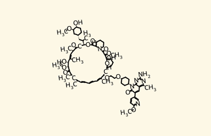 COc1ccc(-c2cc3c(C)nc(N)nc3n([C@H]3CC[C@H](OCCO[C@H]4C[C@@H]5CC[C@@H](C)[C@@](O)(O5)C(=O)C(=O)N5CCCC[C@H]5C(=O)O[C@H](C(C)C[C@H]5CC[C@@H](O)[C@H](OC)C5)CC(=O)[C@H](C)/C=C(\C)[C@@H](O)[C@@H](OC)C(=O)[C@H](C)C[C@H](C)/C=C/C=C/C=C\4C)CC3)c2=O)cn1